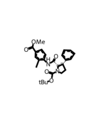 COC(=O)c1ccc(NC(=O)[C@@H]2[C@H](c3ccccc3)CCN2C(=O)OC(C)(C)C)c(C)c1